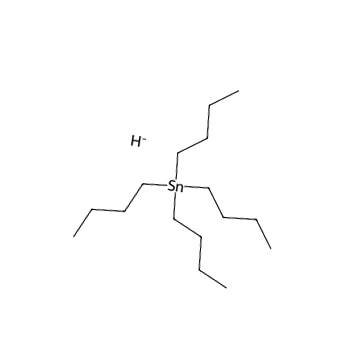 CCC[CH2][Sn]([CH2]CCC)([CH2]CCC)[CH2]CCC.[H-]